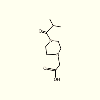 CC(C)C(=O)N1CCN(CC(=O)O)CC1